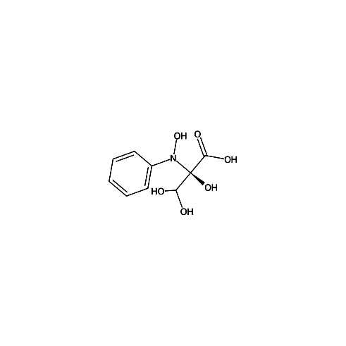 O=C(O)[C@](O)(C(O)O)N(O)c1ccccc1